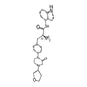 N[C@@H](Cc1ccc(N2CCN(C3CCOC3)CC2=O)cc1)C(=O)Nc1cccc2[nH]ccc12